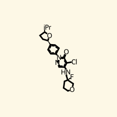 CC(C)[C@@H]1CC[C@H](c2ccc(-n3ncc(NC[C@@]4(F)CCCOC4)c(Cl)c3=O)cc2)O1